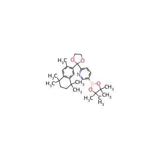 Cc1cc2c(cc1C1(c3ccc(B4OC(C)(C)C(C)(C)O4)cn3)OCCO1)C(C)(C)CCC2(C)C